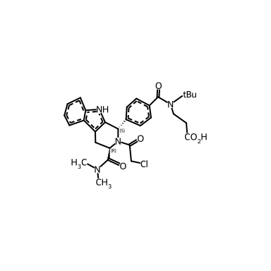 CN(C)C(=O)[C@H]1Cc2c([nH]c3ccccc23)[C@H](c2ccc(C(=O)N(CCC(=O)O)C(C)(C)C)cc2)N1C(=O)CCl